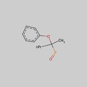 CCCC(C)(Oc1ccccc1)P=O